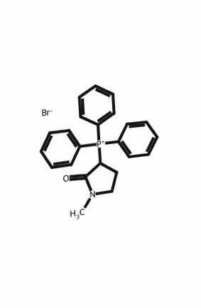 CN1CCC([P+](c2ccccc2)(c2ccccc2)c2ccccc2)C1=O.[Br-]